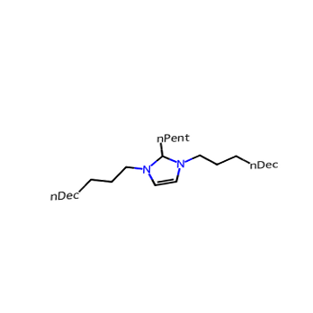 CCCCCCCCCCCCCN1C=CN(CCCCCCCCCCCCC)C1CCCCC